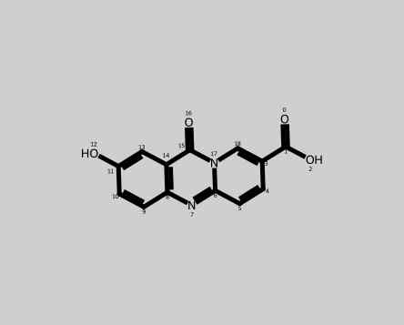 O=C(O)c1ccc2nc3ccc(O)cc3c(=O)n2c1